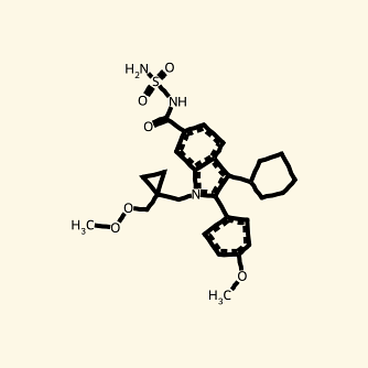 COOCC1(Cn2c(-c3ccc(OC)cc3)c(C3CCCCC3)c3ccc(C(=O)NS(N)(=O)=O)cc32)CC1